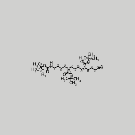 CC(C)(C)OC(=O)NCCCCN(CCCCN(CCCC#N)C(=O)OC(C)(C)C)C(=O)OC(C)(C)C